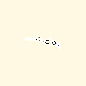 CCCCCCC[C@H]1CC[C@H](CCc2ccc(-c3ccc(N=C=S)cc3)c(F)c2)CC1